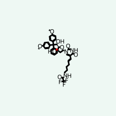 COc1ccc(C(c2ccccc2)(c2ccc(OC)cc2)C(O)[C@H]2O[C@@H](n3cc(C=CCCCCNC(=O)C(F)(F)F)c(=O)[nH]c3=O)C[C@@H]2O)cc1